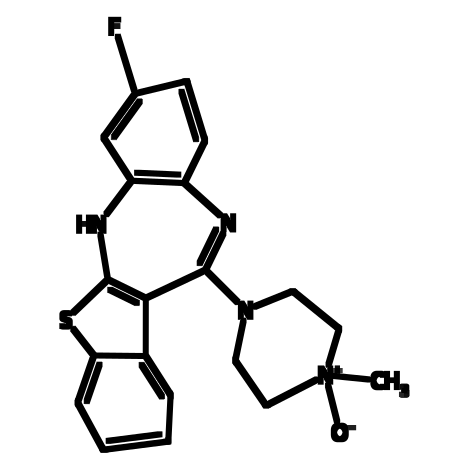 C[N+]1([O-])CCN(C2=Nc3ccc(F)cc3Nc3sc4ccccc4c32)CC1